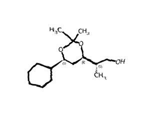 C[C@@H](CO)[C@H]1C[C@@H](C2CCCCC2)OC(C)(C)O1